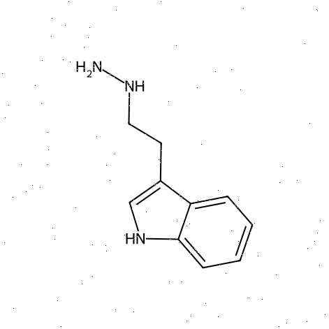 NNCCc1c[nH]c2ccccc12